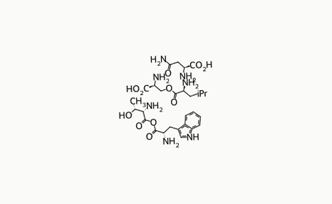 CC(C)C[C@H](N)C(=O)OC[C@H](N)C(=O)O.C[C@@H](O)[C@H](N)C(=O)OC(=O)[C@@H](N)Cc1c[nH]c2ccccc12.NC(=O)C[C@H](N)C(=O)O